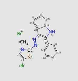 Cn1cc(Br)s[c+]1N=Nc1c(-c2ccccc2)[nH]c2ccccc12.[Br-]